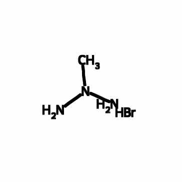 Br.CN(N)N